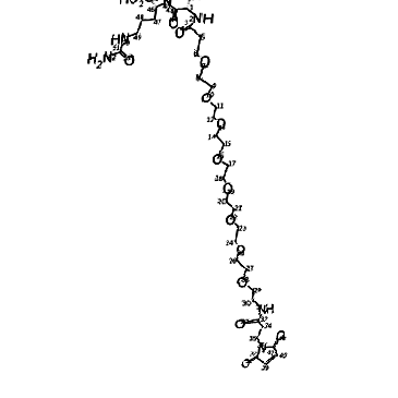 CC(C)[C@H](NC(=O)CCOCCOCCOCCOCCOCCOCCOCCOCCNC(=O)CCN1C(=O)C=CC1=O)C(=O)N[C@H](CCCNC(N)=O)C(=O)O